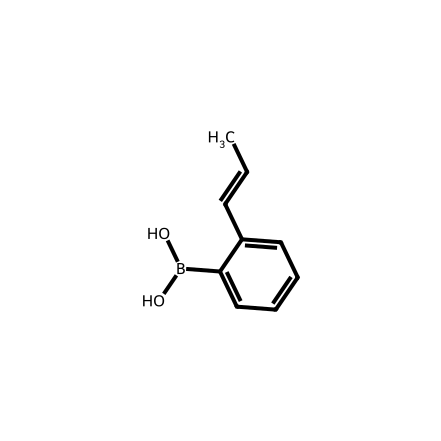 CC=Cc1ccccc1B(O)O